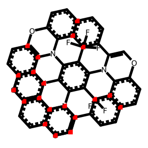 FC(F)(F)c1c(N2C(c3ccccc3)=COc3ccccc32)c(N2C(c3ccccc3)=COc3ccccc32)c(N2C(c3ccccc3)=COc3ccccc32)c(C(F)(F)F)c1N1C(c2ccccc2)=COc2ccccc21